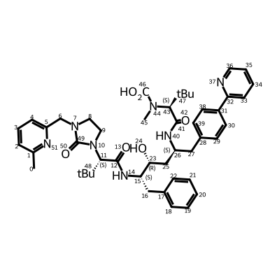 Cc1cccc(CN2CCN([C@H](C(=O)N[C@@H](Cc3ccccc3)[C@H](O)C[C@H](Cc3ccc(-c4ccccn4)cc3)NC(=O)[C@@H](N(C)C(=O)O)C(C)(C)C)C(C)(C)C)C2=O)n1